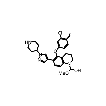 COC(O)N1c2ccc(-c3cnn(C4CCNCC4)c3)c(Oc3ccc(F)c(Cl)c3)c2CC[C@@H]1C